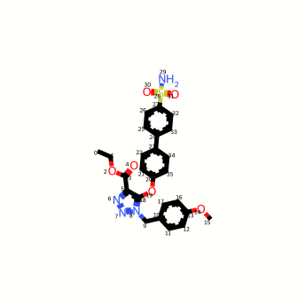 CCOC(=O)c1nnn(Cc2ccc(OC)cc2)c1Oc1ccc(-c2ccc(S(N)(=O)=O)cc2)cc1